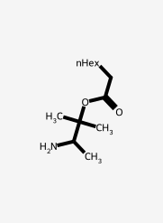 CCCCCCCC(=O)OC(C)(C)C(C)N